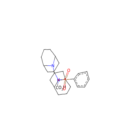 O=C(O)N(C1CC2CCCC(C1)N2C1CC2CCCC(C2)C1)S(=O)(=O)c1ccccc1